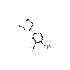 Cc1cc(N(CC(C)C)CC(C)C)ccc1C=O